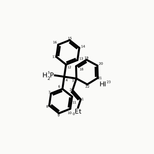 CCC=CC1(C(P)(c2ccccc2)c2ccccc2)C=CC=CC1.I